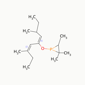 CC/C(C)=C\C(=C/C(C)CC)OP1C(C)C1(C)C